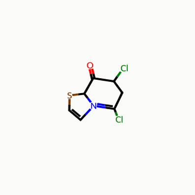 O=C1C(Cl)CC(Cl)=[N+]2C=CSC12